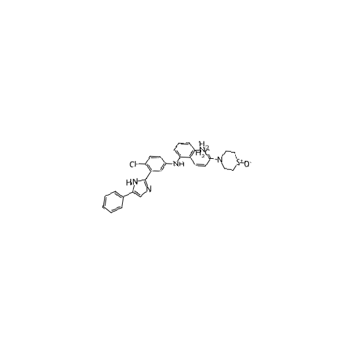 C=C(/C=C\c1c(N)cccc1Nc1ccc(Cl)c(-c2ncc(-c3ccccc3)[nH]2)c1)N1CC[S+]([O-])CC1